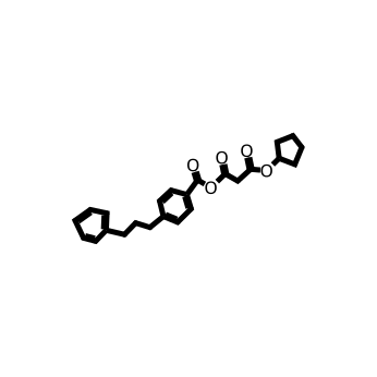 O=C(CC(=O)OC1CCCC1)OC(=O)c1ccc(CCCc2ccccc2)cc1